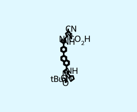 CC(C)(C)OC(=O)N1CCCC1c1ncc(-c2ccc3cc(-c4ccc(-c5cnc(C6CC(C#N)CN6C(=O)O)[nH]5)cc4)ccc3c2)[nH]1